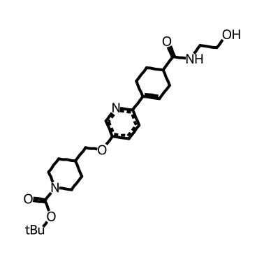 CC(C)(C)OC(=O)N1CCC(COc2ccc(C3=CCC(C(=O)NCCO)CC3)nc2)CC1